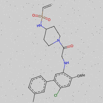 C=CS(=O)(=O)NC1CCN(C(=O)CNc2cc(-c3cccc(C)c3)c(Cl)cc2OC)CC1